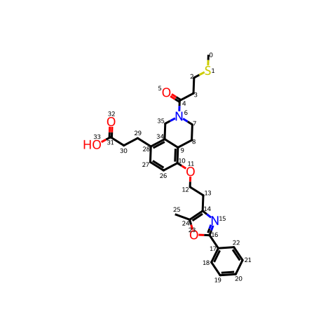 CSCCC(=O)N1CCc2c(OCCc3nc(-c4ccccc4)oc3C)ccc(CCC(=O)O)c2C1